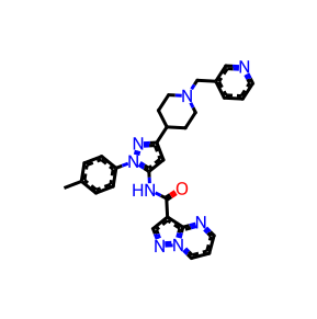 Cc1ccc(-n2nc(C3CCN(Cc4cccnc4)CC3)cc2NC(=O)c2cnn3cccnc23)cc1